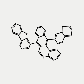 c1ccc2cc(-c3c4ccccc4c(-c4cccc5c4oc4ccccc45)c4cnc5ccccc5c34)ccc2c1